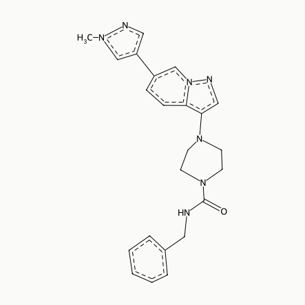 Cn1cc(-c2ccc3c(N4CCN(C(=O)NCc5ccccc5)CC4)cnn3c2)cn1